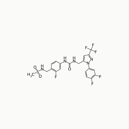 CS(=O)(=O)NCc1ccc(NC(=O)NCc2cc(C(F)(F)F)nn2-c2ccc(F)c(F)c2)cc1F